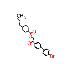 CCCCC1CCC(C(=O)OCC(=O)c2ccc(-c3ccc(Br)cc3)cc2)CC1